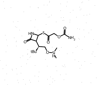 C[SiH](C)OC[C@H](C1C(=O)NC1SC(=O)COC(N)=O)C(C)(C)C